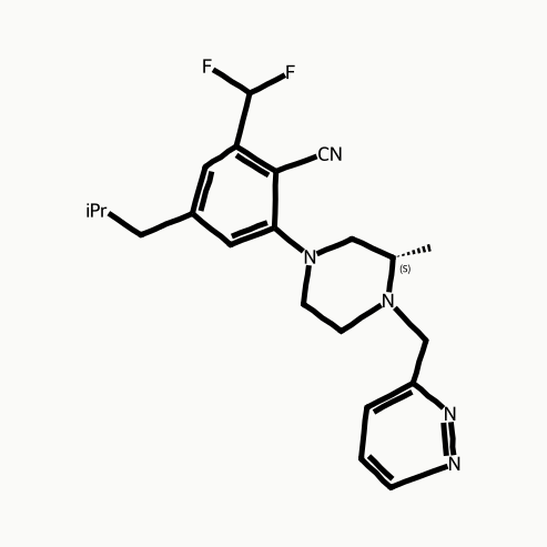 CC(C)Cc1cc(C(F)F)c(C#N)c(N2CCN(Cc3cccnn3)[C@@H](C)C2)c1